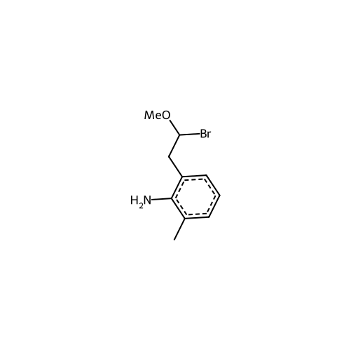 COC(Br)Cc1cccc(C)c1N